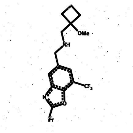 COC1(CNCc2cc(C(F)(F)F)c3oc(C(C)C)nc3c2)CCC1